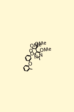 COC=C(C(=O)OC)c1c(OC)nc(C)nc1Oc1cccc(Oc2ccccc2C)c1